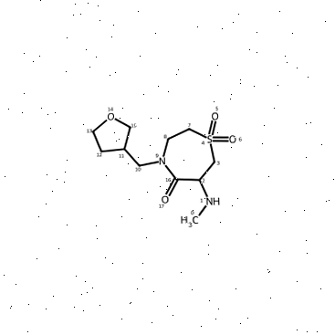 CNC1CS(=O)(=O)CCN(CC2CCOC2)C1=O